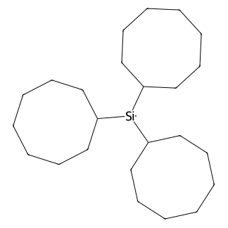 C1CCCC([Si](C2CCCCCCC2)C2CCCCCCC2)CCC1